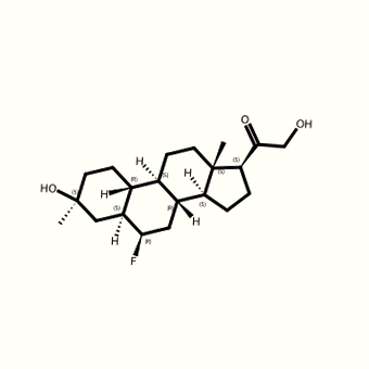 C[C@]1(O)CC[C@@H]2[C@H]3CC[C@]4(C)[C@@H](C(=O)CO)CC[C@H]4[C@@H]3C[C@@H](F)[C@H]2C1